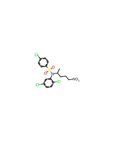 CC(CCC[N+](=O)[O-])N(c1cc(Cl)ccc1Cl)S(=O)(=O)c1ccc(Cl)cc1